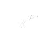 CN1C(=O)CCc2cc(-c3cncc(Cn4cc(F)ccc4=O)c3)ccc21